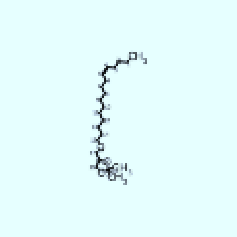 CCCC/C=C\CCCCCCCCCCOCC1COC(C)(C)O1